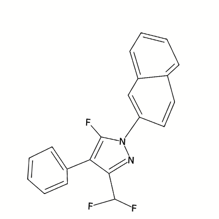 Fc1c(-c2ccccc2)c(C(F)F)nn1-c1ccc2ccccc2c1